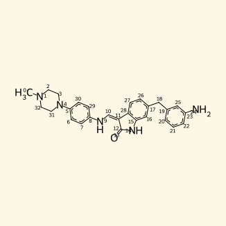 CN1CCN(c2ccc(NC=C3C(=O)Nc4cc(Cc5cccc(N)c5)ccc43)cc2)CC1